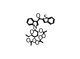 CC[C@H]1O[C@@H](n2cc(C(=O)c3cc4ccccc4s3)c3ccccc32)[C@H](OC(C)=O)[C@@H](OC(C)=O)[C@@H]1OC(C)=O